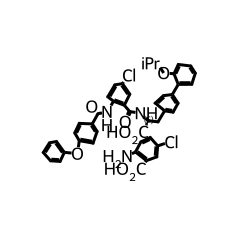 CC(C)Oc1ccccc1-c1ccc(C[C@H](NC(=O)c2cc(Cl)ccc2NC(=O)c2ccc(Oc3ccccc3)cc2)C(=O)O)cc1.Nc1ccc(Cl)cc1C(=O)O